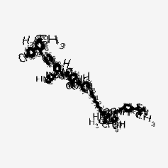 Cc1ncsc1-c1ccc(CNC(=O)[C@@H]2C[C@@H](O)CN2C(=O)[C@@H](NC(=O)CCCCCCCCN2CCC(CNc3ccc(S(=O)(=O)NC(=O)c4ccc(N5CCN(CC6=C(c7ccc(Cl)cc7)CC(C)(C)CC6)CC5)cc4Oc4cnc5[nH]ccc5c4)cc3[N+](=O)[O-])CC2)C(C)(C)C)cc1